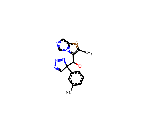 Cc1sc2cncn2c1C(O)C1(c2cccc(C#N)c2)C=NN=N1